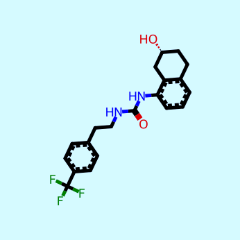 O=C(NCCc1ccc(C(F)(F)F)cc1)Nc1cccc2c1C[C@H](O)CC2